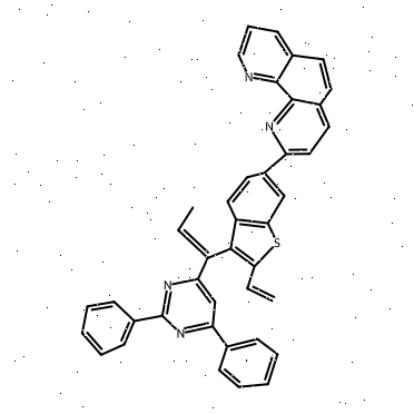 C=Cc1sc2cc(-c3ccc4ccc5cccnc5c4n3)ccc2c1/C(=C\C)c1cc(-c2ccccc2)nc(-c2ccccc2)n1